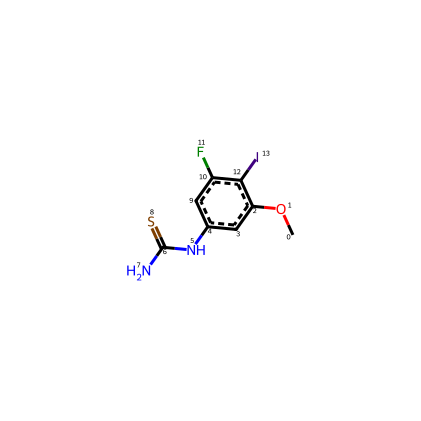 COc1cc(NC(N)=S)cc(F)c1I